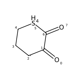 O=C1[CH]CC[SH4]C1=O